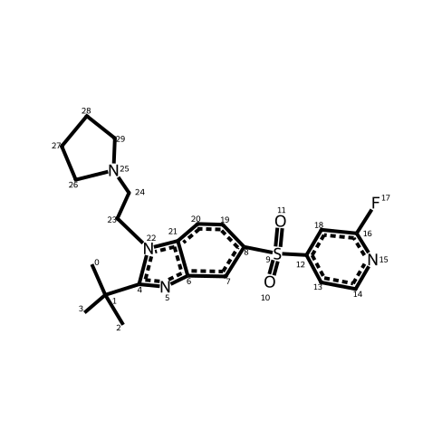 CC(C)(C)c1nc2cc(S(=O)(=O)c3ccnc(F)c3)ccc2n1CCN1CCCC1